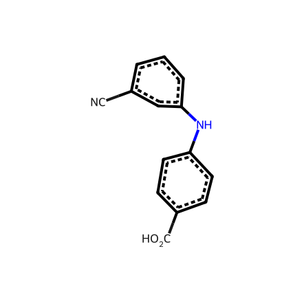 N#Cc1cccc(Nc2ccc(C(=O)O)cc2)c1